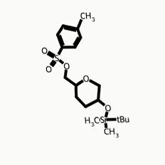 Cc1ccc(S(=O)(=O)OCC2CCC(O[Si](C)(C)C(C)(C)C)CO2)cc1